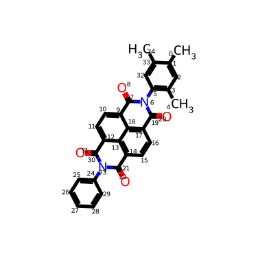 Cc1cc(C)c(N2C(=O)c3ccc4c5c(ccc(c35)C2=O)C(=O)N(c2ccccc2)C4=O)cc1C